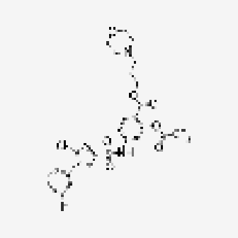 O=C(OCCCN1CCOCC1)c1ccc(NS(=O)(=O)c2cc(-c3cccc(F)c3)c(Cl)s2)cc1OC(=O)C(F)(F)F